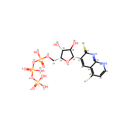 O=P(O)(O)OP(=O)(O)OP(=O)(O)OC[C@H]1O[C@@H](c2cc3c(F)cc[nH]c-3nc2=S)C(O)[C@H]1O